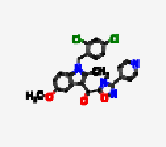 COc1ccc2c(c1)c(C(=O)c1nc(-c3ccncc3)no1)c(C)n2Cc1ccc(Cl)cc1Cl